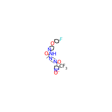 CC(C(=O)Nc1ccc(Oc2ccc(F)cc2)cn1)N1CCN(C(=O)c2cc[n+]([O-])cc2C(F)(F)F)CC1